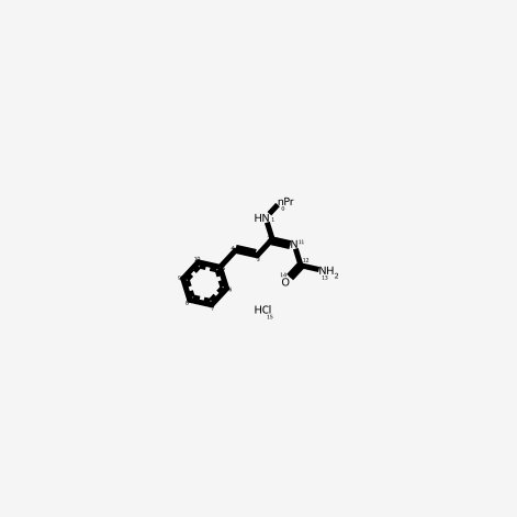 CCCNC(/C=C/c1ccccc1)=N/C(N)=O.Cl